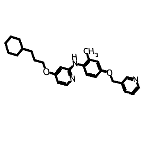 Cc1cc(OCc2cccnc2)ccc1Nc1cc(OCCCC2CCCCC2)ccn1